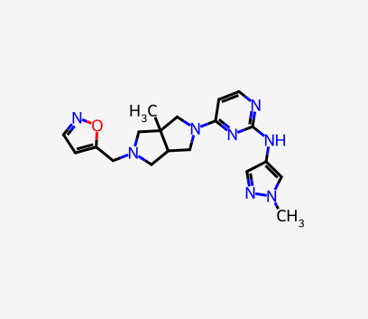 Cn1cc(Nc2nccc(N3CC4CN(Cc5ccno5)CC4(C)C3)n2)cn1